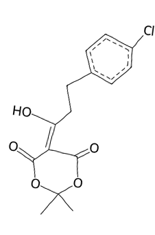 CC1(C)OC(=O)C(=C(O)CCc2ccc(Cl)cc2)C(=O)O1